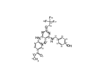 COC(=O)c1ccc(Nc2cc(NCc3ccc(O)cc3)nc(OCC(F)(F)F)n2)[n+]([O-])c1